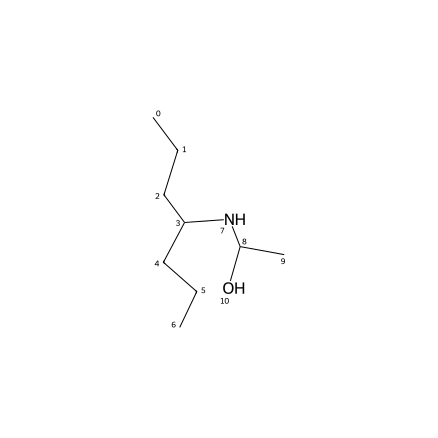 CCCC(CCC)NC(C)O